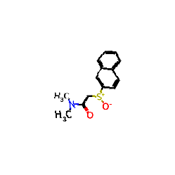 CN(C)C(=O)C[S+]([O-])c1ccc2ccccc2c1